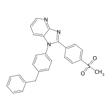 CS(=O)(=O)c1ccc(-c2nc3ncccc3n2-c2ccc(Cc3ccccc3)cc2)cc1